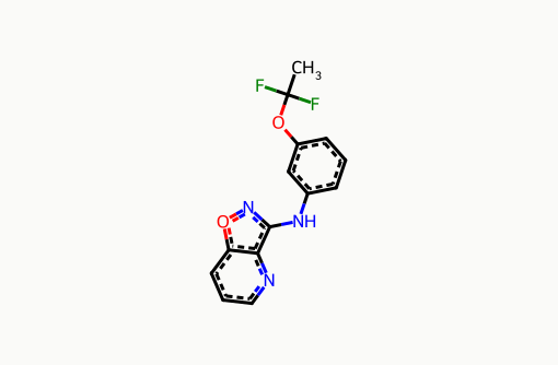 CC(F)(F)Oc1cccc(Nc2noc3cccnc23)c1